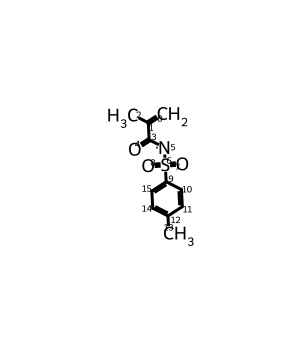 C=C(C)C(=O)[N]S(=O)(=O)c1ccc(C)cc1